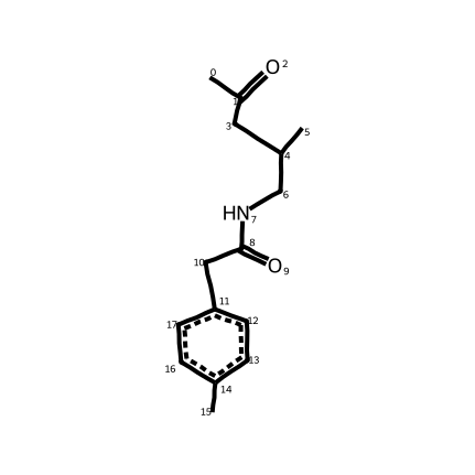 CC(=O)CC(C)CNC(=O)Cc1ccc(C)cc1